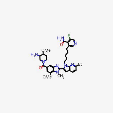 CCc1ccc2cc(-c3nc4cc(C(=O)N5CCC(OC)C(N)C5)cc(OC)c4n3C)n(CCCCCc3cncc(F)c3C(N)=O)c2n1